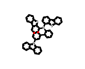 c1cc(-c2ccccc2N(c2cccc3c2sc2ccccc23)c2cccc3c2sc2ccccc23)cc(-n2c3ccccc3c3ccccc32)c1